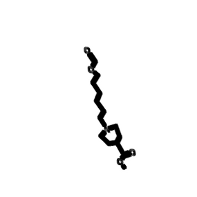 COC(=O)C1CCN(CCCCCCOC=O)CC1